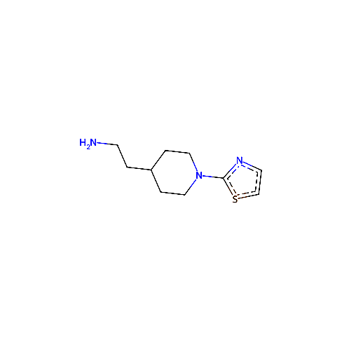 NCCC1CCN(c2nccs2)CC1